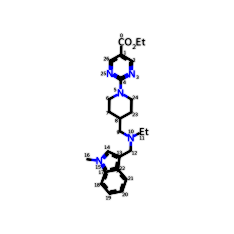 CCOC(=O)c1cnc(N2CCC(CN(CC)Cc3cn(C)c4ccccc34)CC2)nc1